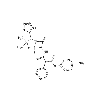 CC1(C)S[C@@H]2C(NC(=O)C(C(=O)Oc3ccc([N+](=O)[O-])cc3)c3ccccc3)C(=O)N2C1c1nnn[nH]1